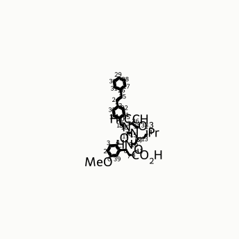 COc1cccc(C(CC(=O)O)NC(=O)[C@H](CC(C)C)N2C(=O)N(Cc3ccc(C=Cc4ccccc4)cc3)C(C)(C)C2=O)c1